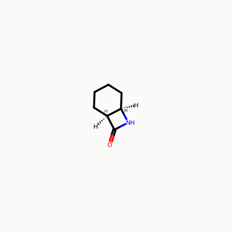 O=C1N[C@@H]2CCCC[C@H]12